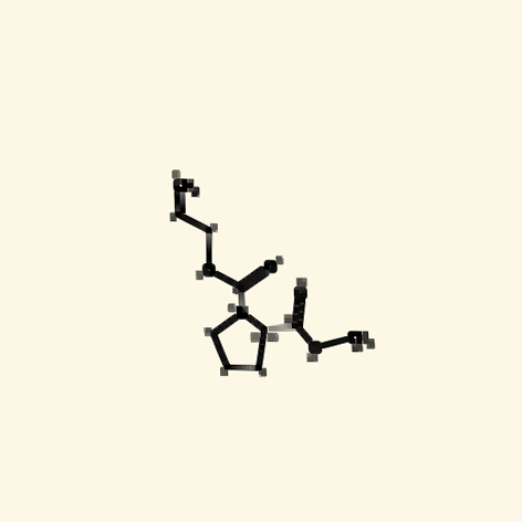 C=CCOC(=O)N1CCC[C@H]1C(=O)OC